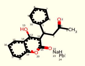 CC(=O)CC(c1ccccc1)c1c(O)c2ccccc2oc1=O.[NaH].[Pb]